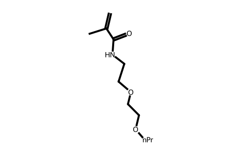 C=C(C)C(=O)NCCOCCOCCC